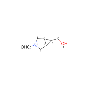 O=CN1CC2C(CO)C2C1